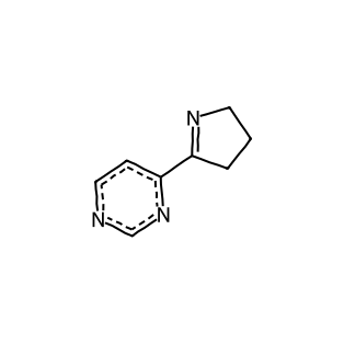 c1cc(C2=NCCC2)ncn1